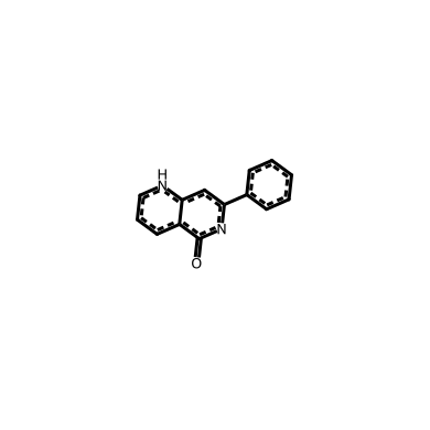 O=c1nc(-c2ccccc2)cc2[nH]cccc1-2